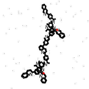 C/C(=N/C1(C)CC(C)(/N=C(/C)c2ccc(-c3cc4ccccc4cn3)cc2)CC(C)(/N=C(/C)c2ccc(-c3cc4ccc(-c5cccc6nc(-c7ccc(/C(C)=N\C8(C)CC(C)(/N=C(/C)c9ccc(-c%10ccc%11ccccc%11n%10)cc9)CC(C)(/N=C(/C)c9ccc(-c%10ccc%11ccccc%11n%10)cc9)C8)cc7)ccc56)cc4cn3)cc2)C1)c1ccc(-c2cc3ccccc3cn2)cc1